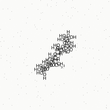 CC1(C)C[C@H]2C3=CC[C@@H]4[C@@]5(C)CC[C@H](O[C@@H]6O[C@H](C(=O)O)[C@@H](O)[C@H](O)[C@H]6O[C@@H]6O[C@H](CO)[C@H](O)[C@H](O)[C@H]6O)[C@](C)(CO)[C@@H]5CC[C@@]4(C)[C@]3(C)CC[C@@]2(C)[C@H](O[C@@H]2OC[C@H](O)[C@H](O[C@@H]3O[C@H](CO)[C@@H](O)[C@H](O)[C@H]3O)[C@H]2O)[C@@H]1O